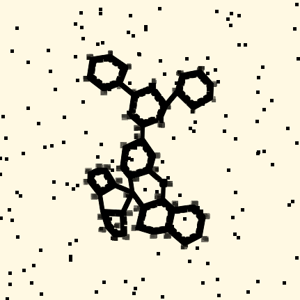 c1ccc(-c2nc(-c3ccccc3)nc(-c3ccc4c(c3)Oc3c(ccc5ccccc35)C43c4ccccc4-c4ccccc43)n2)cc1